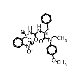 CCN(C(=O)[C@H](Cc1ccccc1)NC(=O)NS(=O)(=O)c1ccccc1[N+](=O)[O-])c1ccc(OC)cc1